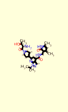 Cc1cc(C)c(CNC(=O)c2cc(C3=CCN(C(=O)[C@@H](N)C(C)O)CC3)nc3c2cnn3C(C)C)c(=O)[nH]1